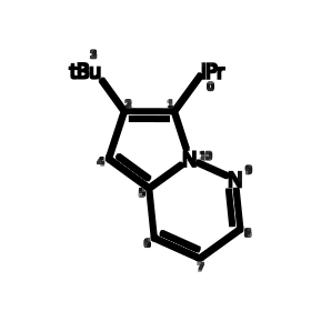 CC(C)c1c(C(C)(C)C)cc2cccnn12